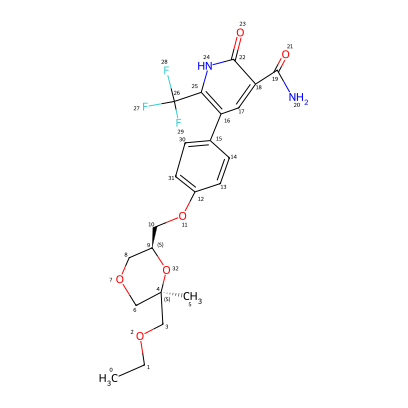 CCOC[C@@]1(C)COC[C@@H](COc2ccc(-c3cc(C(N)=O)c(=O)[nH]c3C(F)(F)F)cc2)O1